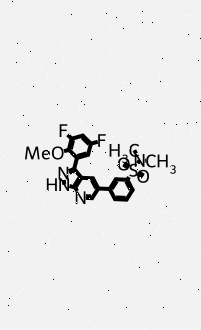 COc1c(F)cc(F)cc1-c1n[nH]c2ncc(-c3cccc(S(=O)(=O)N(C)C)c3)cc12